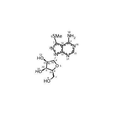 CSc1nn([C@@H]2O[C@@H](CO)[C@@H](O)[C@H]2O)c2ncnc(N)c12